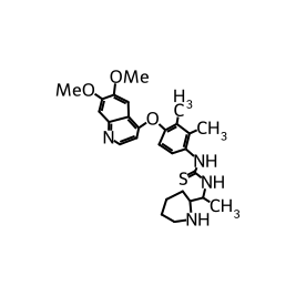 COc1cc2nccc(Oc3ccc(NC(=S)NC(C)C4CCCCN4)c(C)c3C)c2cc1OC